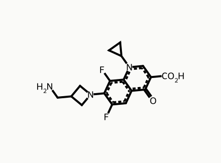 NCC1CN(c2c(F)cc3c(=O)c(C(=O)O)cn(C4CC4)c3c2F)C1